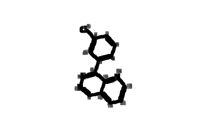 Clc1cccc(-c2nncc3cccnc23)c1